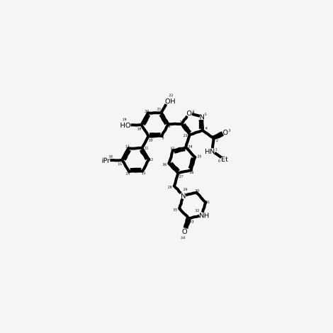 CCNC(=O)c1noc(-c2cc(-c3cccc(C(C)C)c3)c(O)cc2O)c1-c1ccc(CN2CCNC(=O)C2)cc1